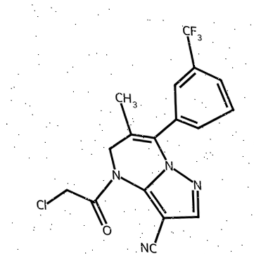 CC1=C(c2cccc(C(F)(F)F)c2)n2ncc(C#N)c2N(C(=O)CCl)C1